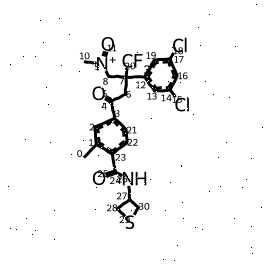 Cc1cc(C(=O)CC(C[N+](C)=O)(c2cc(Cl)cc(Cl)c2)C(F)(F)F)ccc1C(=O)NC1CSC1